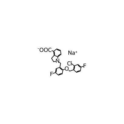 O=C([O-])c1cccc2c1CCN2Cc1cc(F)ccc1OCc1ccc(F)cc1Cl.[Na+]